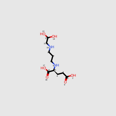 O=C(O)CC[C@H](NCCCNCC(O)O)C(=O)O